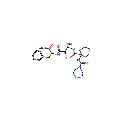 CCCC[C@H](NC(=O)C1(NC(=O)N2CCOCC2)CCCCC1)C(=O)C(=O)N[C@@H](Cc1ccccc1)C(=O)OC